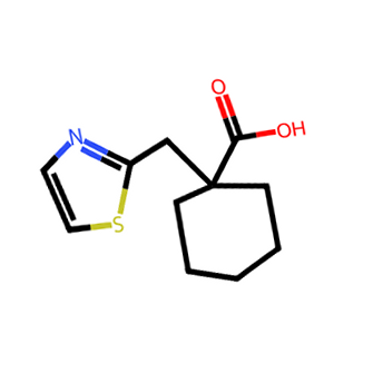 O=C(O)C1(Cc2nccs2)CCCCC1